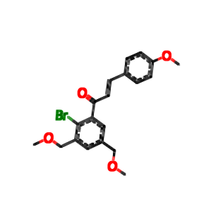 COCc1cc(COC)c(Br)c(C(=O)/C=C/c2ccc(OC)cc2)c1